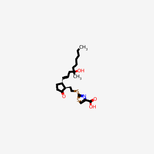 CCCCCCC(C)(O)CC=C[C@H]1CCC(=O)[C@@H]1CCSc1nc(C(=O)O)cs1